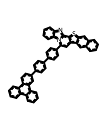 c1ccc2cc3c(cc2c1)sc1c3cc(-c2ccc(-c3ccc(-c4ccc5c6ccccc6c6ccccc6c5c4)cc3)cc2)n2c3ccccc3nc12